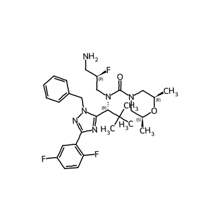 C[C@@H]1CN(C(=O)N(C[C@H](F)CN)[C@@H](c2nc(-c3cc(F)ccc3F)nn2Cc2ccccc2)C(C)(C)C)C[C@H](C)O1